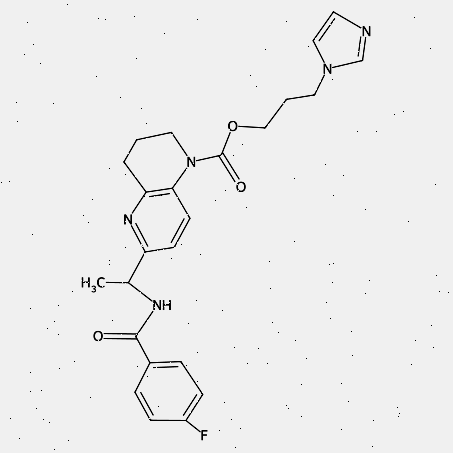 CC(NC(=O)c1ccc(F)cc1)c1ccc2c(n1)CCCN2C(=O)OCCCn1ccnc1